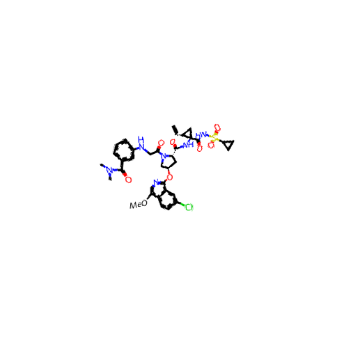 C=C[C@@H]1C[C@]1(NC(=O)[C@@H]1C[C@@H](Oc2ncc(OC)c3ccc(Cl)cc23)CN1C(=O)CNc1cccc(C(=O)N(C)C)c1)C(=O)NS(=O)(=O)C1CC1